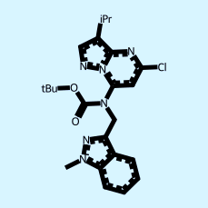 CC(C)c1cnn2c(N(Cc3nn(C)c4ccccc34)C(=O)OC(C)(C)C)cc(Cl)nc12